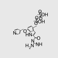 CNC(N)=NC(=O)c1cc2c(C)ccc(OCc3ccncc3)c2[nH]1.CS(=O)(=O)O.CS(=O)(=O)O